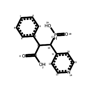 O=C(O)C(c1ccccc1)C(c1ccncc1)[PH](=O)O